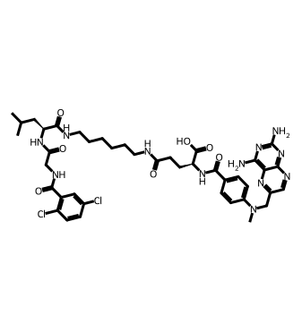 CC(C)C[C@H](NC(=O)CNC(=O)c1cc(Cl)ccc1Cl)C(=O)NCCCCCCNC(=O)CC[C@H](NC(=O)c1ccc(N(C)Cc2cnc3nc(N)nc(N)c3n2)cc1)C(=O)O